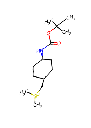 C[SH](C)C[C@H]1CC[C@@H](NC(=O)OC(C)(C)C)CC1